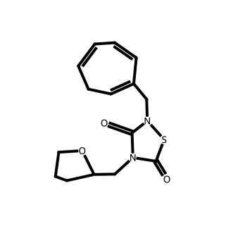 O=c1sn(CC2=CCC=CC=C2)c(=O)n1CC1CCCO1